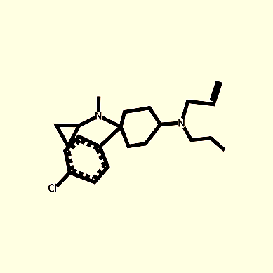 C=CCN(CCC)C1CCC(c2ccc(Cl)cc2)(N(C)C2CC2)CC1